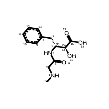 CNCC(=O)N[C@H](Cc1ccccc1)[C@H](O)C(=O)O